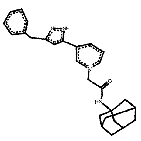 O=C(C[n+]1cccc(-c2cc(Cc3ccccc3)n[nH]2)c1)NC12CC3CC(CC(C3)C1)C2